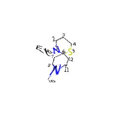 CCN1CCCSC12CCN(C)CC2